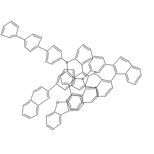 c1ccc(-c2ccc(-c3ccc(N(c4cccc(-c5ccc6ccccc6c5)c4)c4ccccc4-c4cccc5c4oc4c(-c6c(-c7cccc(N(c8ccccc8-c8cccc9c8oc8ccccc89)c8cccc9ccccc89)c7)ccc7ccccc67)cccc45)cc3)cc2)cc1